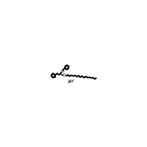 CCCCCCCCCCCCCCCCCCOC[C@@H](CCc1ccccc1)COCc1ccccc1.[H-].[Na+]